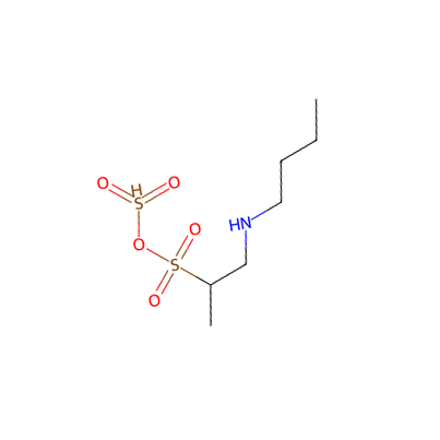 CCCCNCC(C)S(=O)(=O)O[SH](=O)=O